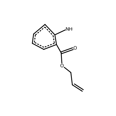 C=CCOC(=O)c1ccccc1[NH]